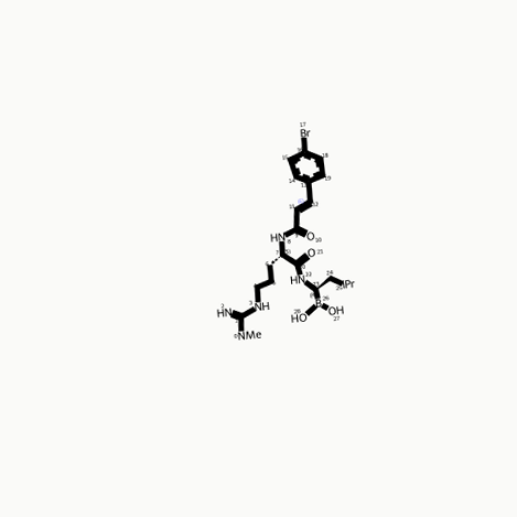 CNC(=N)NCCC[C@H](NC(=O)/C=C/c1ccc(Br)cc1)C(=O)N[C@@H](CC(C)C)B(O)O